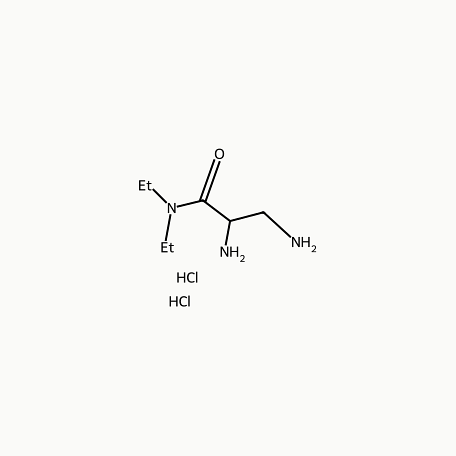 CCN(CC)C(=O)C(N)CN.Cl.Cl